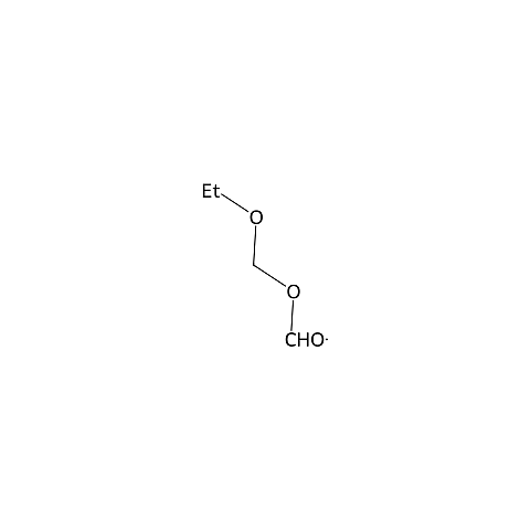 CCOCO[C]=O